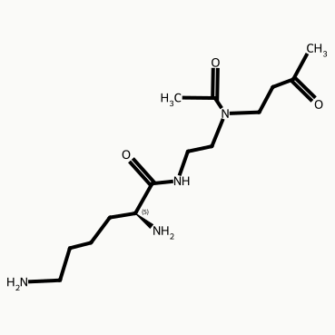 CC(=O)CCN(CCNC(=O)[C@@H](N)CCCCN)C(C)=O